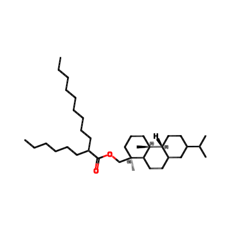 CCCCCCCCCC(CCCCCC)C(=O)OC[C@@]1(C)CCC[C@@]2(C)C1CCC1CC(C(C)C)CC[C@H]12